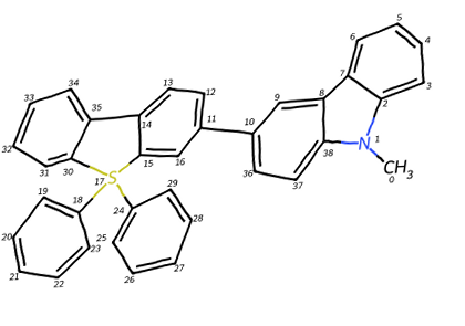 Cn1c2ccccc2c2cc(-c3ccc4c(c3)S(c3ccccc3)(c3ccccc3)c3ccccc3-4)ccc21